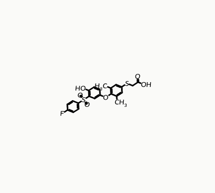 Cc1cc(SCC(=O)O)cc(C)c1Oc1ccc(O)c(S(=O)(=O)c2ccc(F)cc2)c1